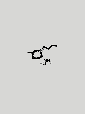 CCCC[n+]1cccc(C)c1.Cl.[AlH3]